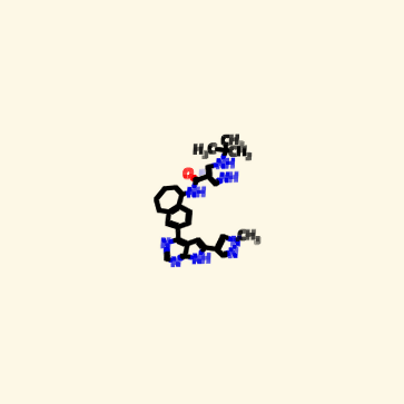 Cn1cc(-c2cc3c(-c4ccc5c(c4)CCCCC5NC(=O)/C(C=N)=C/NC(C)(C)C)ncnc3[nH]2)cn1